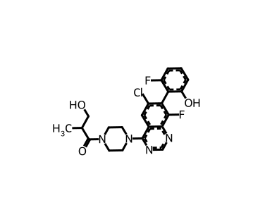 CC(CO)C(=O)N1CCN(c2ncnc3c(F)c(-c4c(O)cccc4F)c(Cl)cc23)CC1